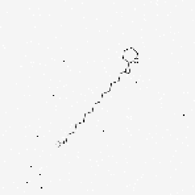 O=[C]CCCCCCCCCCCCCOC1CCCCO1